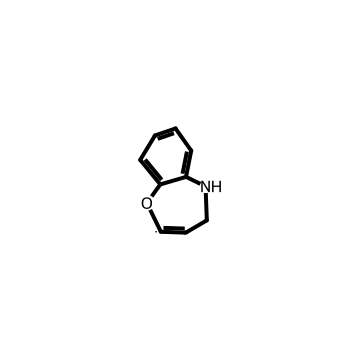 [C]1=CCNc2ccccc2O1